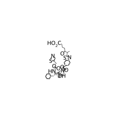 CC(C)CN(C[C@@H](O)[C@H](Cc1ccccc1)NC(=O)OCc1cncs1)S(=O)(=O)c1ccc2nc(C(C)C(=O)CCCC(=O)O)sc2c1